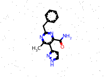 Cc1nc(Cc2ccccc2)nc(C(N)=O)c1-c1cc[nH]n1